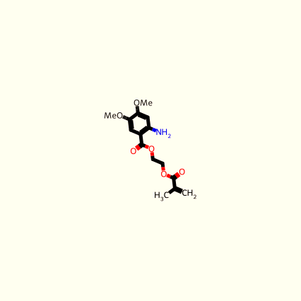 C=C(C)C(=O)OCCOC(=O)c1cc(OC)c(OC)cc1N